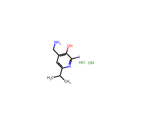 CC(C)c1cc(CN)c(O)c(I)n1.Cl.Cl